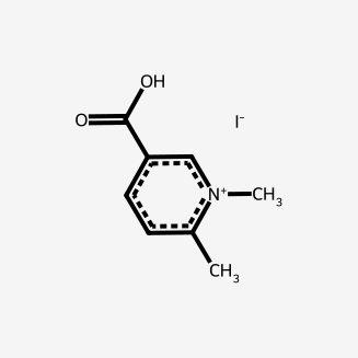 Cc1ccc(C(=O)O)c[n+]1C.[I-]